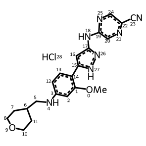 COc1cc(NCC2CCOCC2)ccc1-c1cc(Nc2cnc(C#N)cn2)n[nH]1.Cl